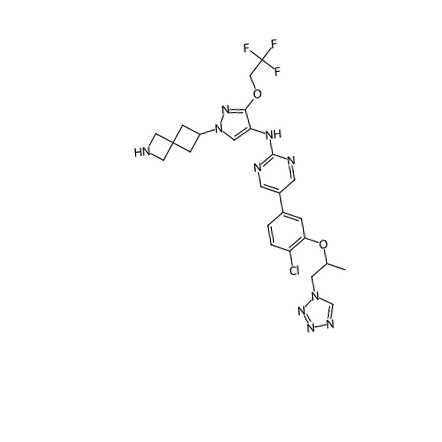 CC(Cn1cnnn1)Oc1cc(-c2cnc(Nc3cn(C4CC5(CNC5)C4)nc3OCC(F)(F)F)nc2)ccc1Cl